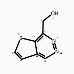 OCc1nncc2ccsc12